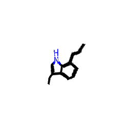 CCCc1cccc2c(C)c[nH]c12